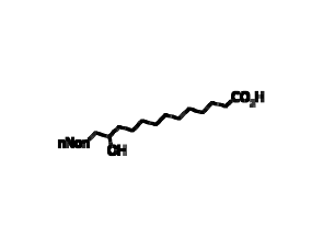 CCCCCCCCCCC(O)CCCCCCCCCCC(=O)O